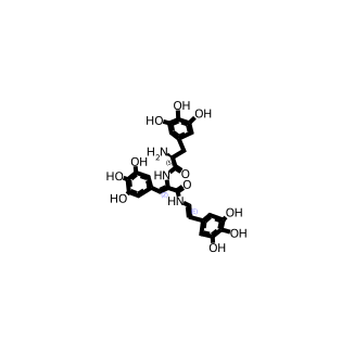 N[C@@H](Cc1cc(O)c(O)c(O)c1)C(=O)N/C(=C\c1cc(O)c(O)c(O)c1)C(=O)N/C=C/c1cc(O)c(O)c(O)c1